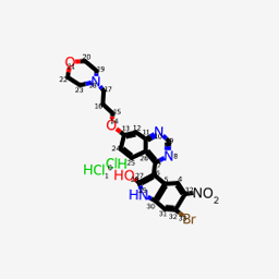 Cl.Cl.O=[N+]([O-])c1cc2c(-c3ncnc4cc(OCCCN5CCOCC5)ccc34)c(O)[nH]c2cc1Br